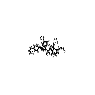 Cc1nn(C(C)c2nn(-c3ccc4cccnc4c3)c3cc(Cl)ccc23)c2ncnc(N)c12